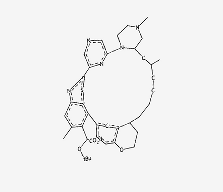 Cc1cc2nc3sc2c(c1C(OC(C)(C)C)C(=O)O)-c1ccc2c(c1)C(CCCCC(C)CC1CN(C)CCN1c1cncc-3n1)CCO2